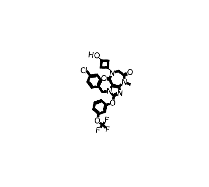 CN1C(=O)CN([C@H]2C[C@@H](O)C2)C(=O)c2c1nc(Oc1cccc(OC(F)(F)F)c1)n2Cc1ccc(Cl)cc1